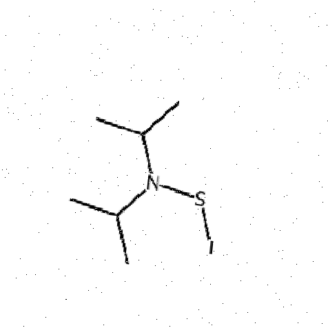 CC(C)N(SI)C(C)C